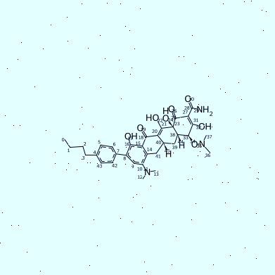 CCCCc1ccc(-c2cc(N(C)C)c3c(c2O)C(=O)C2=C(O)[C@]4(O)C(=O)C(C(N)=O)=C(O)[C@@H](ON(C)C)[C@@H]4C[C@@H]2C3)cc1